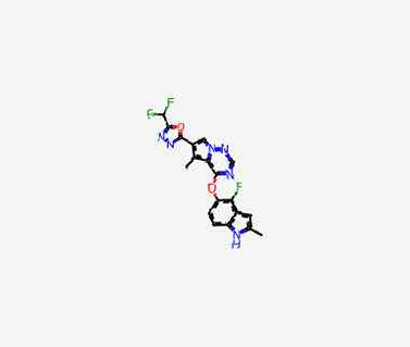 Cc1cc2c(F)c(Oc3ncnn4cc(-c5nnc(C(F)F)o5)c(C)c34)ccc2[nH]1